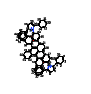 c1ccc(-c2ccc(-c3ccccc3)n2-c2ccc(-c3ccc(-c4ccc(-n5c(-c6ccccc6)ccc5-c5ccccc5)cc4)c4c(-c5ccc6ccccc6c5)c5ccccc5c(-c5ccc6ccccc6c5)c34)cc2)cc1